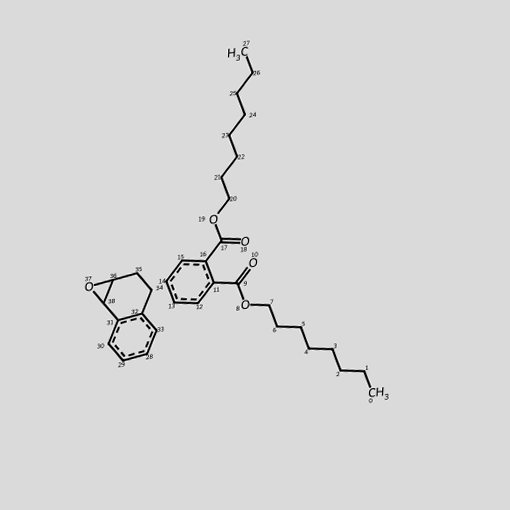 CCCCCCCCOC(=O)c1ccccc1C(=O)OCCCCCCCC.c1ccc2c(c1)CCC1OC21